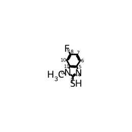 Cn1c(S)nc2ccc(F)cc21